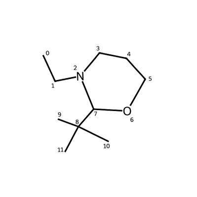 CCN1CCCOC1C(C)(C)C